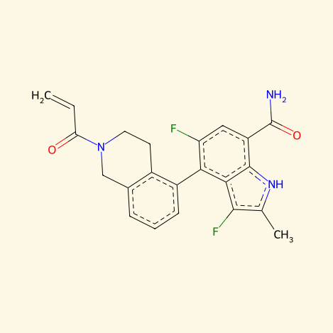 C=CC(=O)N1CCc2c(cccc2-c2c(F)cc(C(N)=O)c3[nH]c(C)c(F)c23)C1